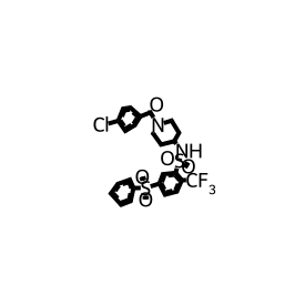 O=C(c1ccc(Cl)cc1)N1CCC(NS(=O)(=O)c2cc(S(=O)(=O)c3ccccc3)ccc2C(F)(F)F)CC1